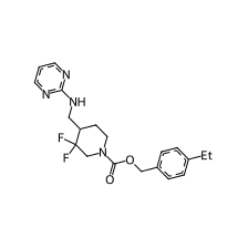 CCc1ccc(COC(=O)N2CCC(CNc3ncccn3)C(F)(F)C2)cc1